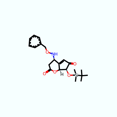 CC(C)(C)[Si](C)(C)O[C@@H]1C(=O)C=C2[C@H](NOCc3ccccc3)CC(=O)O[C@@H]21